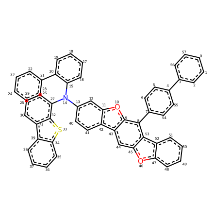 c1ccc(-c2ccc(-c3c4oc5cc(N(c6ccccc6-c6ccccc6)c6cccc7c6sc6ccccc67)ccc5c4cc4oc5ccccc5c34)cc2)cc1